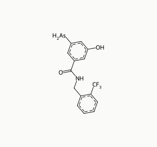 O=C(NCc1ccccc1C(F)(F)F)c1cc(O)cc([AsH2])c1